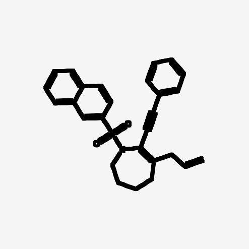 C=CCC1=C(C#Cc2ccccc2)N(S(=O)(=O)c2ccc3ccccc3c2)CCCC1